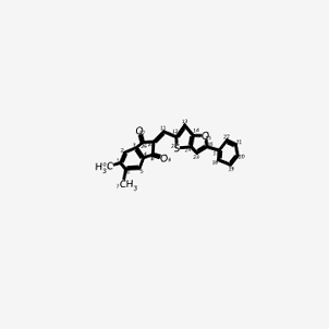 Cc1cc2c(cc1C)C(=O)C(=Cc1cc3oc(-c4ccccc4)cc3s1)C2=O